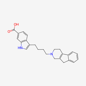 O=C(O)c1ccc2c(CCCCN3CCC4=C(Cc5ccccc54)C3)c[nH]c2c1